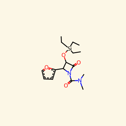 CC[Si](CC)(CC)OC1C(=O)N(C(=O)N(C)C)C1c1ccco1